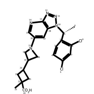 C[C@H](c1ccc(Cl)cc1Cl)n1nnc2ncc(N3CC(C4CC(C)(C(=O)O)C4)C3)cc21